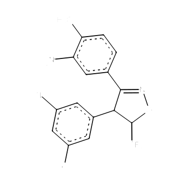 Cc1ccc(C2=NOC(C(F)(F)F)C2c2cc(Cl)cc(Cl)c2)cc1N